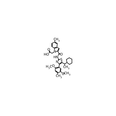 COc1cc(-c2nc(NC(=O)c3cc4cc(C)ccc4n3CC(=O)O)sc2C(C)C2CCCCC2)c(OC)cc1C